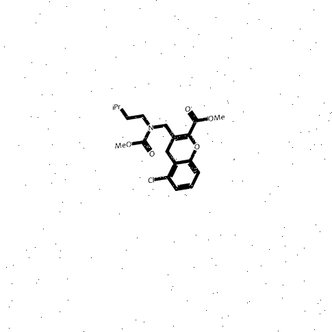 COC(=O)C1=C(CN(CCC(C)C)C(=O)OC)Cc2c(Cl)cccc2O1